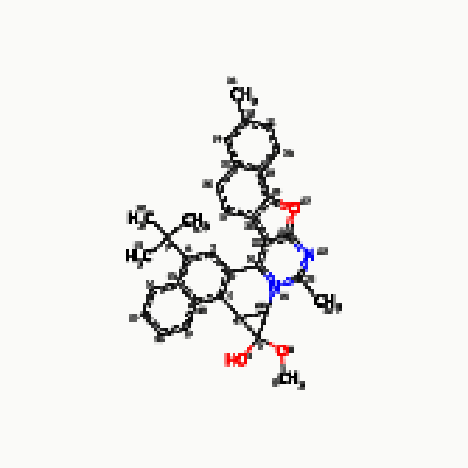 COC1(O)C2c3c(cc(C(C)(C)C)c4ccccc34)-c3c4c(nc(C)[n+]3C21)oc1c2ccc(C)cc2ccc14